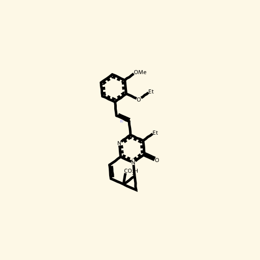 CCOc1c(/C=C/c2nc3n(c(=O)c2CC)C2CC2(C(=O)O)C=C3)cccc1OC